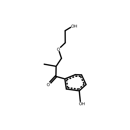 CC(COCCO)C(=O)c1cccc(O)c1